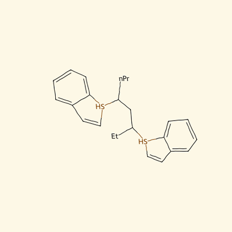 CCCC(CC(CC)[SH]1C=Cc2ccccc21)[SH]1C=Cc2ccccc21